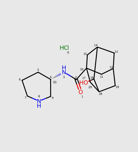 Cl.O=C(N[C@H]1CCCNC1)C12CC3CC(C1)C(O)C(C3)C2